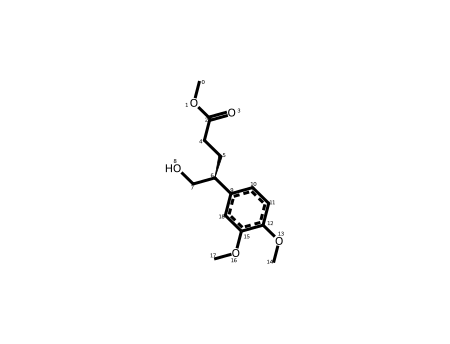 COC(=O)CC[C@H](CO)c1ccc(OC)c(OC)c1